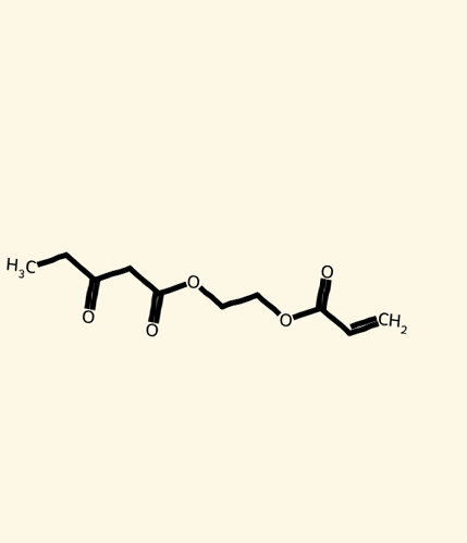 C=CC(=O)OCCOC(=O)CC(=O)CC